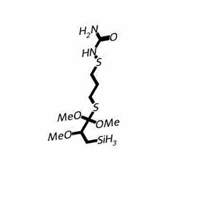 COC(C[SiH3])C(OC)(OC)SCCCSNC(N)=O